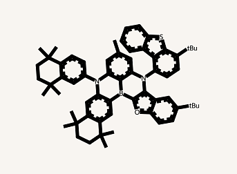 Cc1cc2c3c(c1)N(c1ccc(C(C)(C)C)c4sc5ccccc5c14)c1c(oc4ccc(C(C)(C)C)cc14)B3c1cc3c(cc1N2c1ccc2c(c1)C(C)(C)CCC2(C)C)C(C)(C)CCC3(C)C